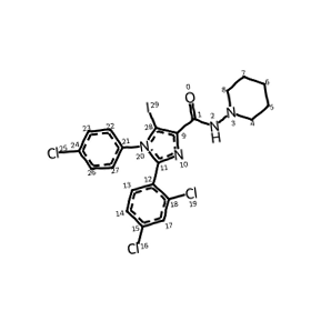 O=C(NN1CCCCC1)c1nc(-c2ccc(Cl)cc2Cl)n(-c2ccc(Cl)cc2)c1I